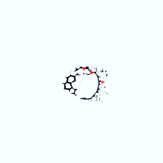 CO[C@H]1/C=C/O[C@@]2(C)Oc3c(C)c(O)c4c(O)c(c(/C=N/N5CCN(C)CC5)c(O)c4c3C2=O)NC(=O)/C(C)=C\C=C\[C@H](C)[C@H](OP(=O)(O)O)[C@@H](C)[C@@H](O)[C@@H](C)[C@H](OC(C)=O)[C@@H]1C